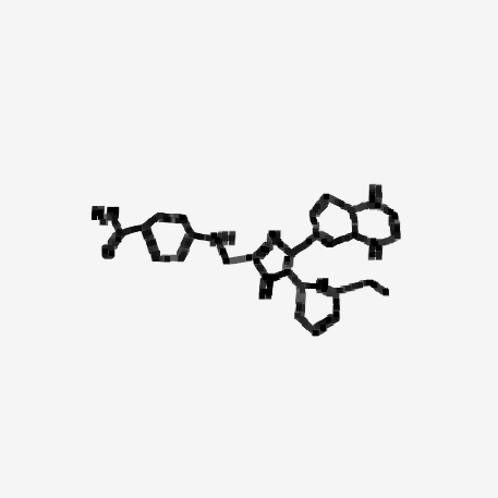 CCc1cccc(-c2[nH]c(CNc3ccc(C(N)=O)cc3)nc2C2=CC3NC=CNC3C=C2)n1